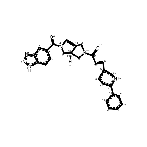 O=C(c1ccc2[nH]nnc2c1)N1C=C2CN(C(=O)C=Cc3ccc(-c4ccccc4)nc3)C[C@@H]2C1